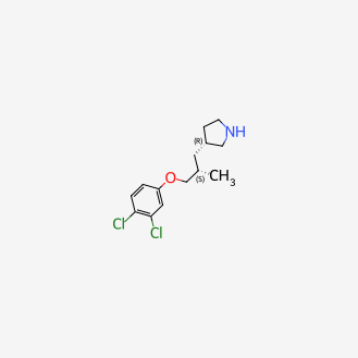 C[C@H](COc1ccc(Cl)c(Cl)c1)C[C@@H]1CCNC1